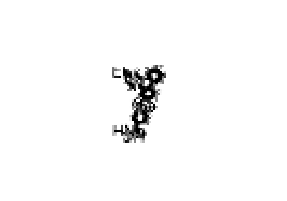 CCN1CCN(c2cc(S(=O)(=O)N3CC=C(C(=O)NO)CC3)ccc2-c2ccccc2)CC1